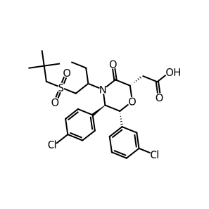 CCC(CS(=O)(=O)CC(C)(C)C)N1C(=O)[C@H](CC(=O)O)O[C@H](c2cccc(Cl)c2)[C@H]1c1ccc(Cl)cc1